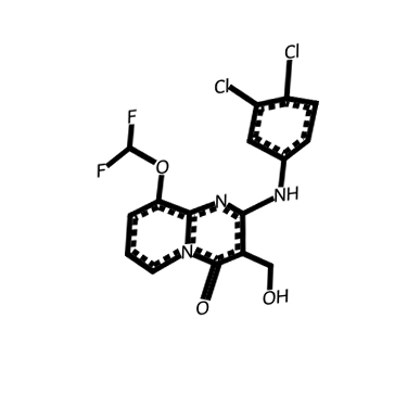 O=c1c(CO)c(Nc2ccc(Cl)c(Cl)c2)nc2c(OC(F)F)cccn12